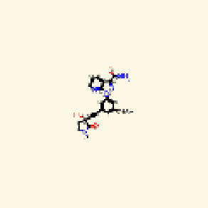 COc1cc(C#C[C@]2(O)CCN(C)C2=O)cc(-n2nc(C(N)=O)c3cccnc32)c1